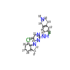 CC1CN(c2nc(Nc3cc4c(cc3F)CCN(C)C4)ncc2Cl)c2ccccc21